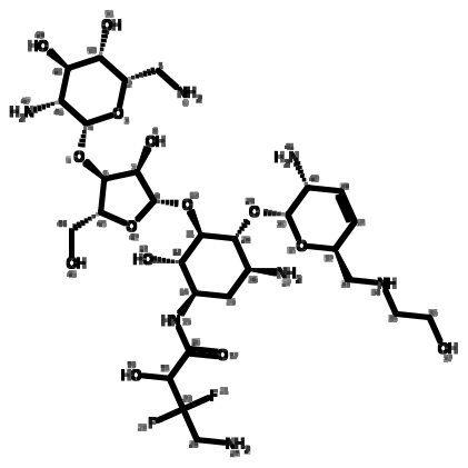 NC[C@@H]1O[C@H](O[C@H]2[C@@H](O)[C@H](O[C@@H]3[C@@H](O)[C@H](NC(=O)C(O)C(F)(F)CN)C[C@H](N)[C@H]3O[C@H]3O[C@H](CNCCO)C=C[C@H]3N)O[C@@H]2CO)[C@H](N)[C@@H](O)[C@@H]1O